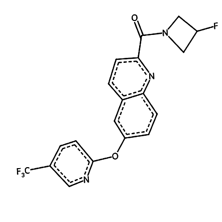 O=C(c1ccc2cc(Oc3ccc(C(F)(F)F)cn3)ccc2n1)N1CC(F)C1